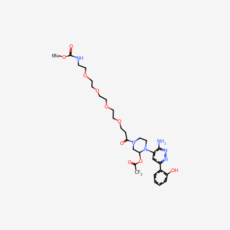 CC(C)(C)OC(=O)NCCOCCOCCOCCOCCC(=O)N1CCN(c2cc(-c3ccccc3O)nnc2N)C(OC(=O)C(F)(F)F)C1